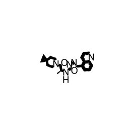 C[C@H](Nc1nnc(-c2cccc3ncccc23)o1)C(=O)N1CCC2(CC1)CC2